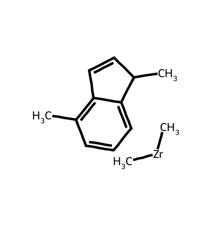 C[C]1C=Cc2c(C)cccc21.[CH3][Zr][CH3]